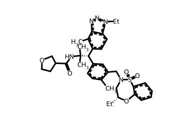 CC[C@@H]1CN(Cc2cc([C@@H](c3ccc4c(nnn4CC)c3C)C(C)(C)NC(=O)C3CCOC3)ccc2C)S(=O)(=O)c2ccccc2O1